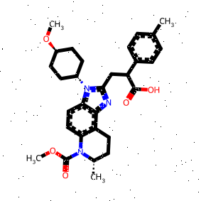 COC(=O)N1c2ccc3c(nc(CC(C(=O)O)c4ccc(C)cc4)n3[C@H]3CC[C@H](OC)CC3)c2CC[C@@H]1C